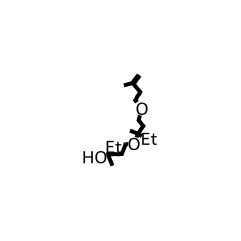 C=C(C)CCOCCC(C)(CC)OCCC(C)(O)CC